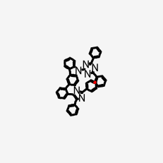 c1ccc(-c2nc(-c3ccccc3)nc(-n3c4ccccc4c4cc5c6ccccc6c6c(-c7ccccc7)nc(-c7ccccc7)n6c5cc43)n2)cc1